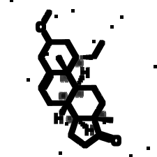 CC[C@H]1CC(OC)CC2=CC[C@@H]3[C@H](CC[C@]4(C)C(=O)CC[C@@H]34)[C@]21C